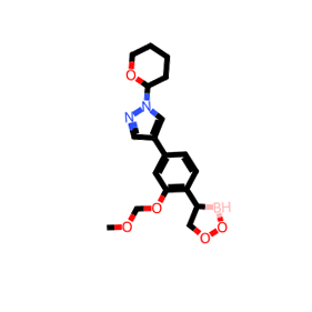 COCOc1cc(-c2cnn(C3CCCCO3)c2)ccc1C1BOOC1